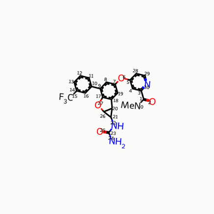 CNC(=O)c1cc(Oc2cc(-c3cccc(C(F)(F)F)c3)c3c(c2)C2C(NC(N)=O)C2O3)ccn1